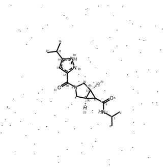 CC(C)NC(=O)C1[C@H]2CN(C(=O)c3cc(C(C)C)[nH]n3)C[C@@H]12